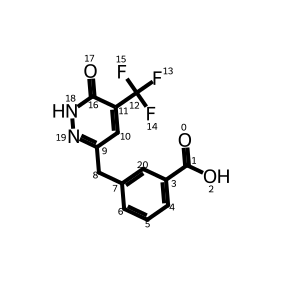 O=C(O)c1cccc(Cc2cc(C(F)(F)F)c(=O)[nH]n2)c1